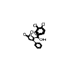 CN1C(=O)C[C@H](c2ccccc2)[C@@H]1C(O)c1ccc(Cl)c(Cl)c1